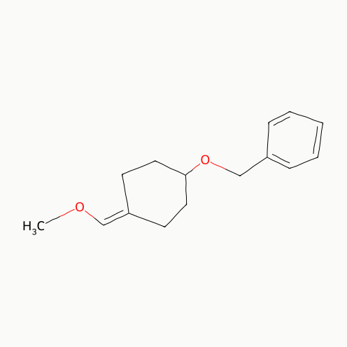 COC=C1CCC(OCc2ccccc2)CC1